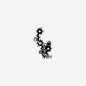 O=CONC(CS(=O)(=O)N1CCNCC1c1ccc(F)cc1)C1CCN(C(=O)C=Cc2ccccc2)CC1